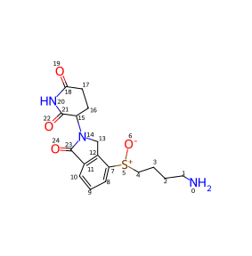 NCCCC[S+]([O-])c1cccc2c1CN(C1CCC(=O)NC1=O)C2=O